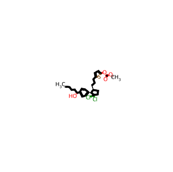 CCCCCC(O)c1ccc([C@@H]2[C@@H](CCCc3ccc(OC(=O)OC)s3)CCC2(Cl)Cl)cc1